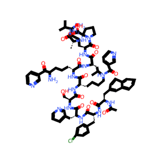 CC(=O)N[C@H](Cc1ccc2ccccc2c1)C(=O)N[C@H](Cc1ccc(Cl)cc1)C(=O)N[C@H](Cc1cccnc1)C(=O)N[C@@H](CO)C(=O)N[C@@H](CCCCNC(=O)c1cccnc1)C(=O)N[C@H](CCCC(N)C(=O)c1cccnc1)C(=O)N[C@@H](CC(C)C)C(=O)N[C@@H](CCCC(N)C(C)C)C(=O)N1CCC[C@]1(N[C@H](C)C(N)=O)C(=O)O